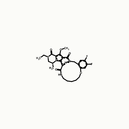 CCN1C[C@H](C)n2c(c(OC)c3c(=O)n4nc(c32)C(=O)NCCCCCOc2cc(F)c(F)cc2C4)C1=O